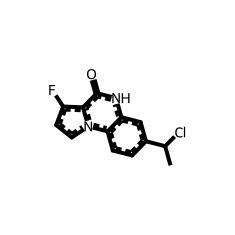 CC(Cl)c1ccc2c(c1)[nH]c(=O)c1c(F)ccn12